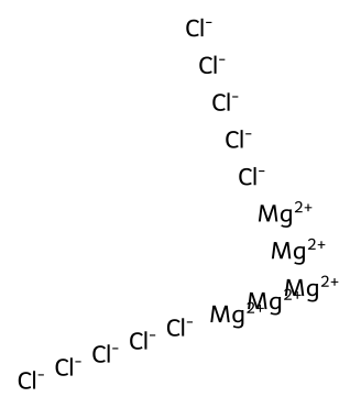 [Cl-].[Cl-].[Cl-].[Cl-].[Cl-].[Cl-].[Cl-].[Cl-].[Cl-].[Cl-].[Mg+2].[Mg+2].[Mg+2].[Mg+2].[Mg+2]